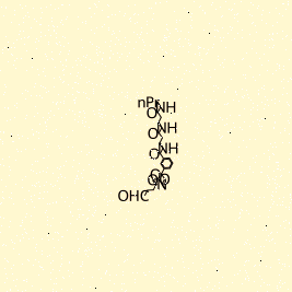 CCCNC(=O)CCNC(=O)CCNC(=O)c1cccc(C(=O)ON(C)C(=O)CCC=O)c1